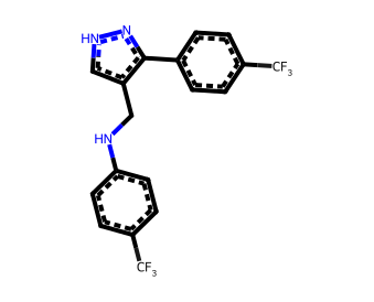 FC(F)(F)c1ccc(NCc2c[nH]nc2-c2ccc(C(F)(F)F)cc2)cc1